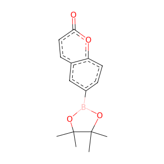 CC1(C)OB(c2ccc3oc(=O)ccc3c2)OC1(C)C